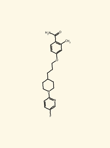 Cc1cc(OCCCC2CCN(c3ccc(F)cn3)CC2)ccc1C(N)=O